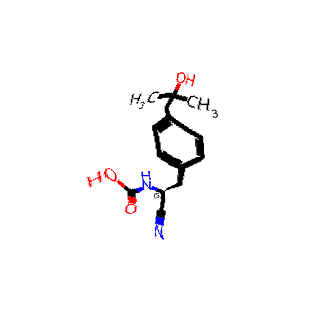 CC(C)(O)c1ccc(C[C@@H](C#N)NC(=O)O)cc1